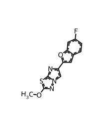 COc1nn2cc(-c3cc4ccc(F)cc4o3)nc2s1